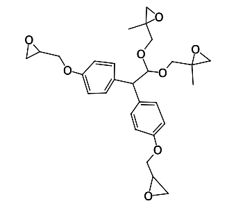 CC1(COC(OCC2(C)CO2)C(c2ccc(OCC3CO3)cc2)c2ccc(OCC3CO3)cc2)CO1